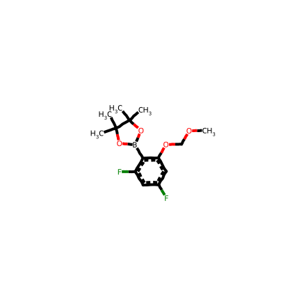 COCOc1cc(F)cc(F)c1B1OC(C)(C)C(C)(C)O1